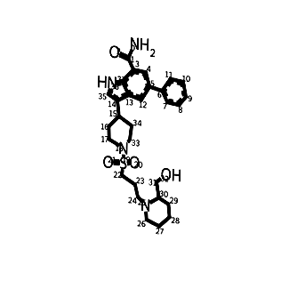 NC(=O)c1cc(-c2ccccc2)cc2c(C3CCN(S(=O)(=O)CCCN4CCCCC4CO)CC3)c[nH]c12